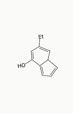 CCC1=CC2C=CC=C2C(O)=C1